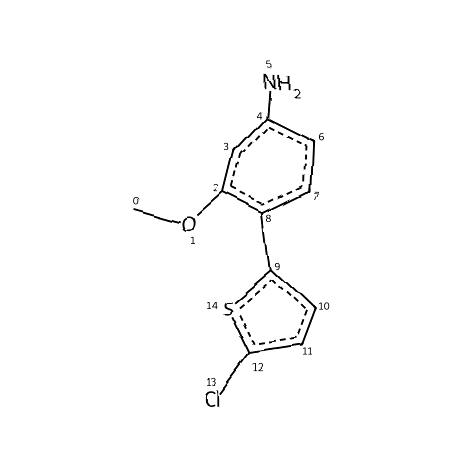 COc1cc(N)ccc1-c1ccc(Cl)s1